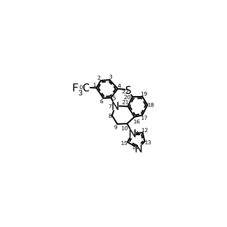 FC(F)(F)c1ccc2c(c1)N1CCC(n3ccnc3)c3cccc(c31)S2